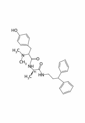 C[C@@H](NC(=O)C(Cc1ccc(O)cc1)N(C)C)C(=O)NCCC(c1ccccc1)c1ccccc1